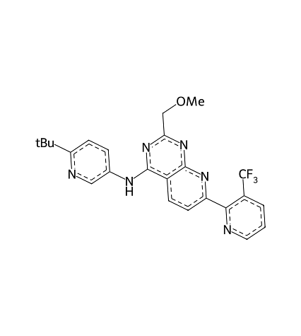 COCc1nc(Nc2ccc(C(C)(C)C)nc2)c2ccc(-c3ncccc3C(F)(F)F)nc2n1